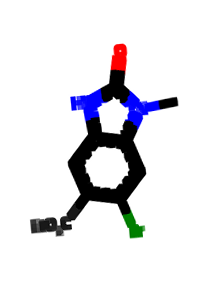 CCOC(=O)c1cc2[nH]c(=O)n(C)c2cc1Br